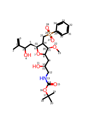 C=C(C)C(O)C[C@@H]1OC(C[C@H](O)CNC(=O)OC(C)(C)C)[C@H](OC)C1CS(=O)(=O)c1ccccc1